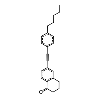 CCCCCc1ccc(C#Cc2ccc3c(c2)CCCC3=O)cc1